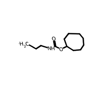 [CH2]CCNC(=O)OC1CCCCCCC1